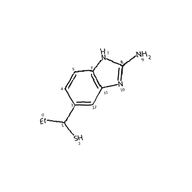 CCC(S)c1ccc2[nH]c(N)nc2c1